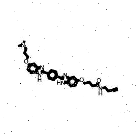 C#CCCNC(=O)CCCOc1ccc2[nH]c(-c3ccc(-c4nc5cc(OCCCN(C)C)ccc5[nH]4)cc3)nc2c1